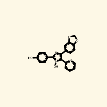 Oc1ccc(-c2nc(-c3ccc4c(c3)OCO4)c(-c3ccccn3)n2O)cc1